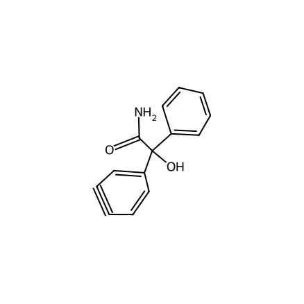 NC(=O)C(O)(c1cc#ccc1)c1ccccc1